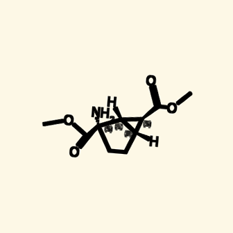 COC(=O)[C@H]1[C@@H]2CC[C@@](N)(C(=O)OC)[C@@H]21